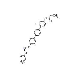 C=CC(=O)O/C=C\Oc1ccc(-c2ccc(-c3ccc(OC(=O)C=C)cc3F)cc2)cc1